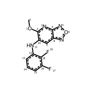 COc1nc2nonc2cc1Nc1cccc(F)c1F